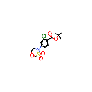 CC(C)(C)OC(=O)c1ccc(N2CCOCS2(=O)=O)cc1Cl